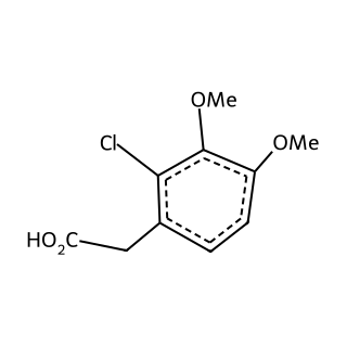 COc1ccc(CC(=O)O)c(Cl)c1OC